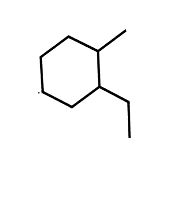 CCC1C[CH]CCC1C